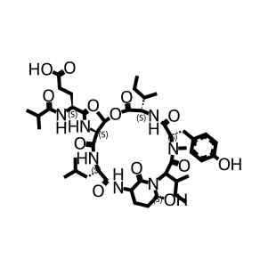 CCC(C)C1C(=O)N(C)[C@@H](Cc2ccc(O)cc2)C(=O)N[C@@H](C(C)CC)C(=O)OC(C)[C@H](NC(=O)[C@H](CCC(=O)O)NC(=O)C(C)C)C(=O)N[C@@H](CC(C)C)C(=O)NC2CC[C@H](O)N1C2=O